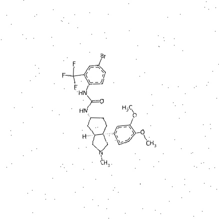 COc1ccc([C@@]23CC[C@@H](NC(=O)Nc4ccc(Br)cc4C(F)(F)F)C[C@@H]2CN(C)C3)cc1OC